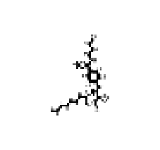 CCCCCCCC(=O)ON(Cc1ccc(C(O)CCCCC)cc1)C(=O)CC